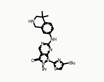 CC(C)n1c(=O)c2cnc(Nc3ccc4c(c3)CNCC4(C)C)nc2n1-c1nc(C(C)(C)C)cs1